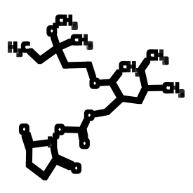 CCC(C)CC(COC(=O)ON1C(=O)CCC1=O)C(C)OCCC(C)(CC)OC